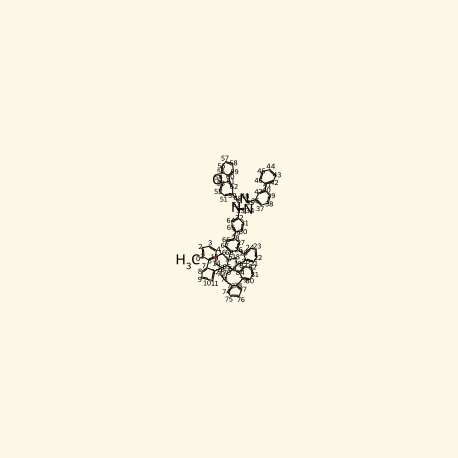 Cc1ccccc1-c1ccccc1C12CCCC34CC(c5ccccc5-c5cc(-c6ccc(-c7nc(-c8cccc(-c9ccccc9)c8)nc(-c8ccc9oc%10ccccc%10c9c8)n7)cc6)ccc53)C3(CC(C1)c1ccccc1-c1ccccc13)C24